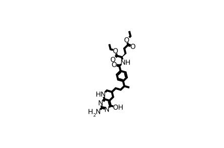 CCOC(=O)CC[C@@H](NC(=O)c1ccc(C(C)CCC2CNc3nc(N)nc(O)c3C2)cc1)C(=O)OCC